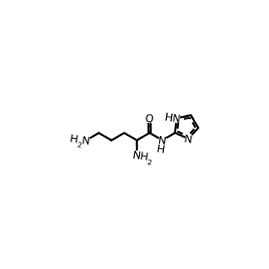 NCCCC(N)C(=O)Nc1ncc[nH]1